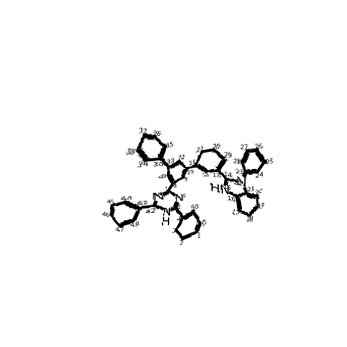 C1=CCCC(C2=NC(c3cc(C4=CC(C5Nc6ccccc6N5c5ccccc5)=CCC4)cc(-c4ccccc4)c3)=NC(c3ccccc3)N2)=C1